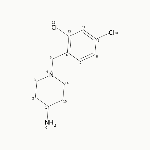 NC1CCN(Cc2ccc(Cl)cc2Cl)CC1